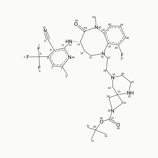 Cc1cc(C(F)(F)F)c(C#N)c(N[C@H]2CCN(CCN3CCNC4(C3)CN(C(=O)OC(C)(C)C)C4)c3c(F)cccc3N(C)C2=O)n1